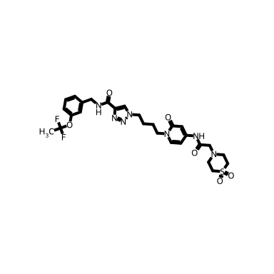 CC(F)(F)Oc1cccc(CNC(=O)c2cn(CCCCn3ccc(NC(=O)CN4CCS(=O)(=O)CC4)cc3=O)nn2)c1